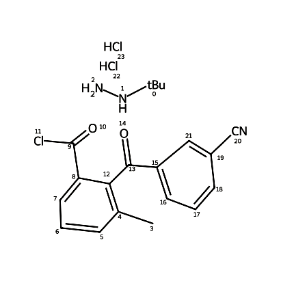 CC(C)(C)NN.Cc1cccc(C(=O)Cl)c1C(=O)c1cccc(C#N)c1.Cl.Cl